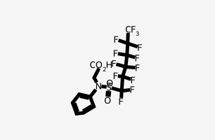 O=C(O)CN(c1ccccc1)S(=O)(=O)C(F)(F)C(F)(F)C(F)(F)C(F)(F)C(F)(F)C(F)(F)F